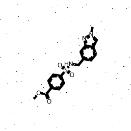 COC(=O)c1ccc(S(=O)(=O)NCc2ccc3cn(C)nc3c2)cc1